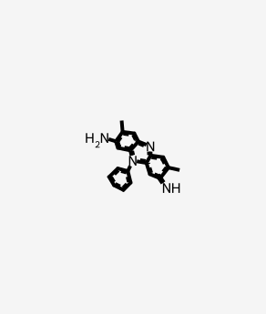 Cc1cc2nc3cc(C)c(=N)cc-3n(-c3ccccc3)c2cc1N